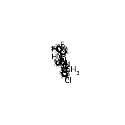 Cc1nnc([C@H]2CCCN2C(=O)N[C@H]2CCOc3c(F)cc(F)cc32)n1Cc1ccc(Cl)cc1